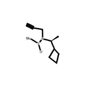 C#CCN([C@@H](C)C1CCC1)[S+]([O-])C(C)(C)C